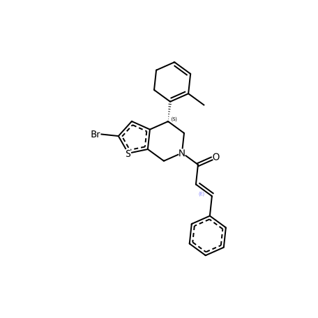 CC1=C([C@@H]2CN(C(=O)/C=C/c3ccccc3)Cc3sc(Br)cc32)CCC=C1